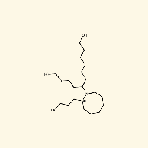 OCCCCCCC(CCOCO)N1CCCCCC[SiH]1CCCS